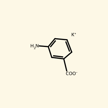 Nc1cccc(C(=O)[O-])c1.[K+]